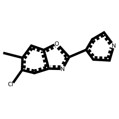 Cc1cc2oc(-c3ccncc3)nc2cc1Cl